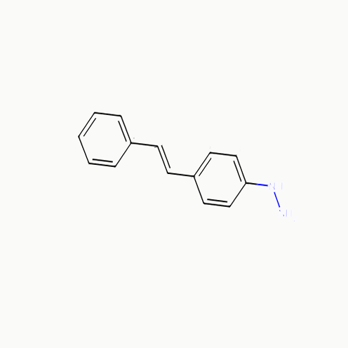 NNc1ccc(C=Cc2ccccc2)cc1